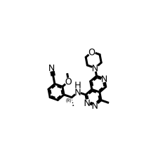 COc1c(C#N)cccc1[C@@H](C)Nc1nnc(C)c2cnc(N3CCOCC3)cc12